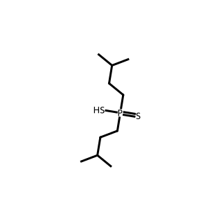 CC(C)CCP(=S)(S)CCC(C)C